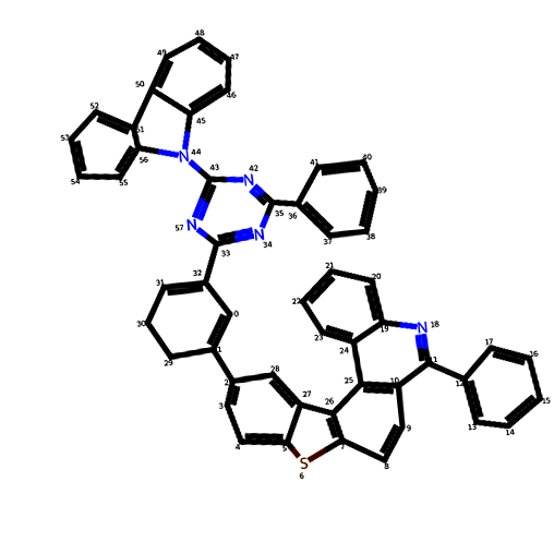 C1=C(c2ccc3sc4ccc5c(-c6ccccc6)nc6ccccc6c5c4c3c2)CCC=C1c1nc(-c2ccccc2)nc(-n2c3ccccc3c3ccccc32)n1